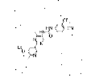 CCOc1cc(-c2ncc(NC(=O)Nc3ccc(C#N)c(C(F)(F)F)c3)c(C)n2)cnc1C